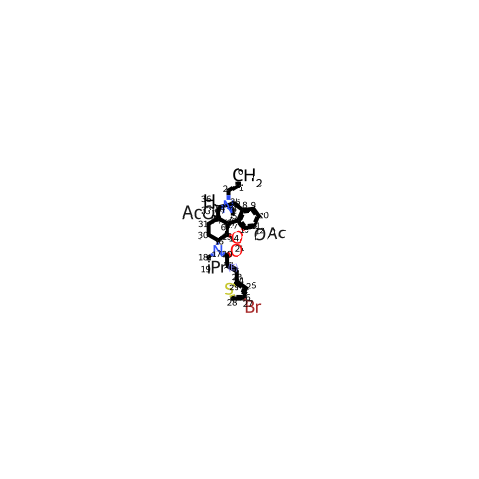 C=CCN1CC[C@]23c4c5ccc(OC(C)=O)c4OC2C(N(CC(C)C)C(=O)/C=C/c2cc(Br)cs2)CC[C@@]3(OC(C)=O)[C@H]1C5